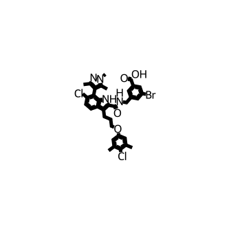 Cc1cc(OCCCc2c(C(=O)NCc3cc(Br)cc(C(=O)O)c3)[nH]c3c(-c4c(C)nn(C)c4C)c(Cl)ccc23)cc(C)c1Cl